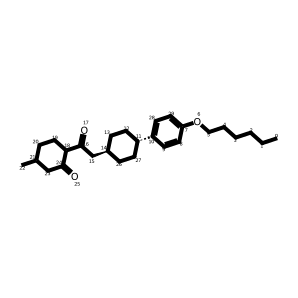 CCCCCCOc1ccc([C@H]2CC[C@H](CC(=O)C3CCC(C)CC3=O)CC2)cc1